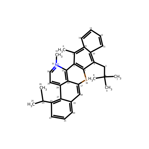 Cc1c2c(c(CC(C)(C)C)c3ccccc13)Sc1cc3cccc(C(C)C)c3c3cc[n+](C)c-2c13